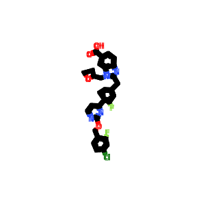 O=C(O)c1ccc2nc(Cc3ccc(-c4ccnc(OCc5ccc(Cl)cc5F)n4)c(F)c3)n(CC3CCO3)c2c1